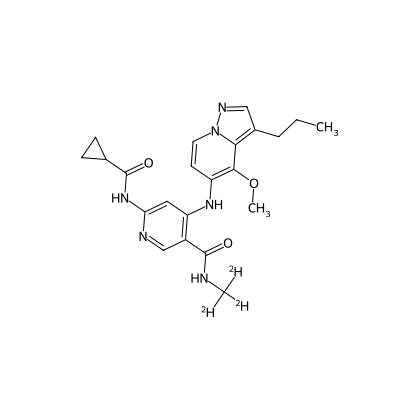 [2H]C([2H])([2H])NC(=O)c1cnc(NC(=O)C2CC2)cc1Nc1ccn2ncc(CCC)c2c1OC